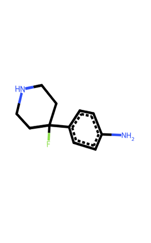 Nc1ccc(C2(F)CCNCC2)cc1